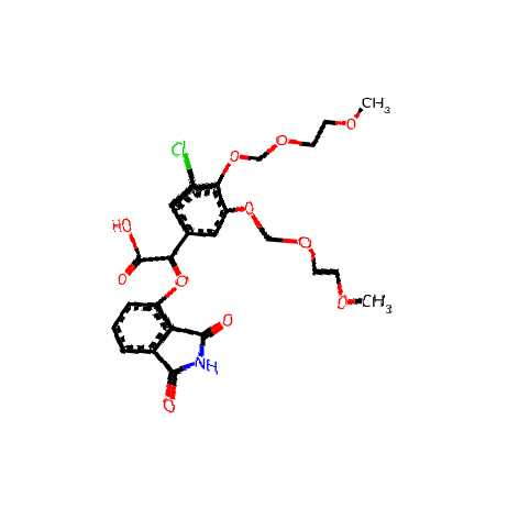 COCCOCOc1cc(C(Oc2cccc3c2C(=O)NC3=O)C(=O)O)cc(Cl)c1OCOCCOC